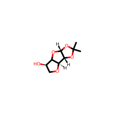 CC1(C)O[C@H]2OC3[C@H](O)CO[C@@H]3[C@H]2O1